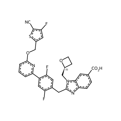 N#Cc1sc(COc2cccc(-c3cc(F)c(Cc4nc5ccc(C(=O)O)cc5n4C[C@@H]4CCO4)cc3F)n2)cc1F